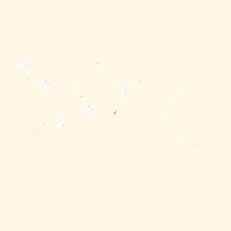 C=CC1(C(=O)OCOC(=O)CC)CS[C@@H]2C(NC(=O)C(=NOC)c3csc(N)n3)C(=O)N2C1